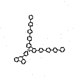 c1ccc(-c2ccc(-c3ccc(-c4ccc(-c5ccc6c(c5)c5cc(-c7ccc(-c8ccc(-c9ccc(-c%10ccccc%10)cc9)cc8)cc7)ccc5n6-c5ccc(-c6cc7ccccc7c7ccccc67)cc5)cc4)cc3)cc2)cc1